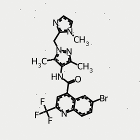 Cc1nn(Cc2nccn2C)c(C)c1NC(=O)c1cc(C(F)(F)F)nc2ccc(Br)cc12